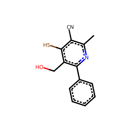 Cc1nc(-c2ccccc2)c(CO)c(S)c1C#N